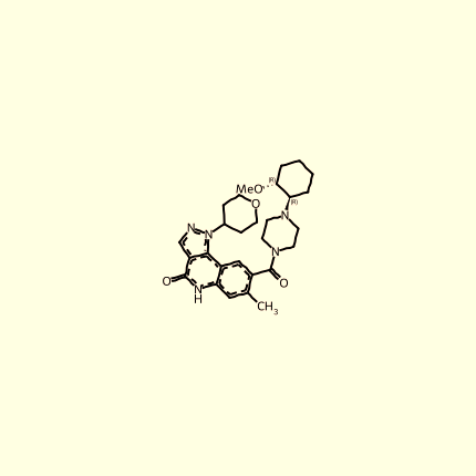 CO[C@@H]1CCCC[C@H]1N1CCN(C(=O)c2cc3c(cc2C)[nH]c(=O)c2cnn(C4CCOCC4)c23)CC1